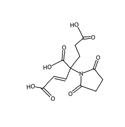 O=C(O)C=CC(CCC(=O)O)(C(=O)O)N1C(=O)CCC1=O